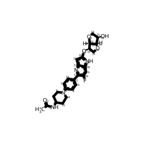 CC(=O)NC1CCN(c2ccc(-c3nc4cc(O[C@@H]5CO[C@H]6[C@@H]5OC[C@H]6O)[nH]c4cc3F)cc2)CC1